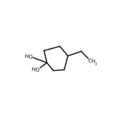 CCC1CCC(O)(O)CC1